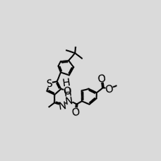 COC(=O)c1ccc(C(=O)N/N=C(/C)c2csc(-c3ccc(C(C)(C)C)cc3)c2O)cc1